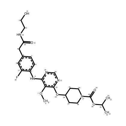 COc1c(Nc2ccc(CC(=O)NCCO)cc2F)ncnc1OC1CCN(C(=O)OC(C)C)CC1